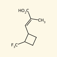 CC(=CC1CCC1C(F)(F)F)C(=O)O